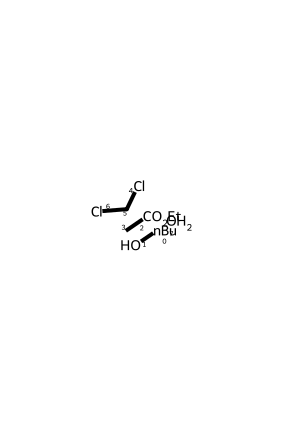 CCCCO.CCOC(C)=O.ClCCl.O